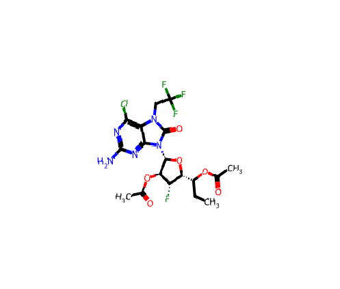 CCC(OC(C)=O)[C@H]1O[C@@H](n2c(=O)n(CC(F)(F)F)c3c(Cl)nc(N)nc32)[C@H](OC(C)=O)[C@H]1F